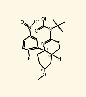 CO[C@@H]1CC[C@]2(c3cc([N+](=O)[O-])ccc3F)N=C(N(C(=O)O)C(C)(C)C)SC[C@@H]2C1